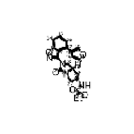 CCS(=O)(=O)N[C@H]1C[C@H]2CN(c3noc4cccc(-c5ccoc5)c34)C(=O)N2C1